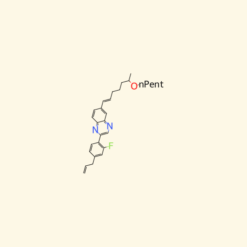 C=CCc1ccc(-c2cnc3cc(C=CCCCC(C)OCCCCC)ccc3n2)c(F)c1